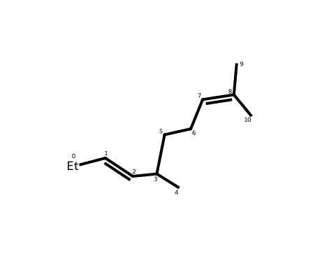 CCC=CC(C)CCC=C(C)C